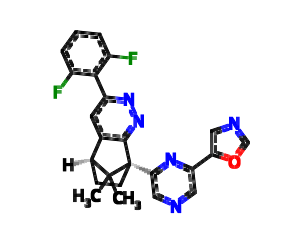 CC1(C)[C@H]2CC[C@]1(c1cncc(-c3cnco3)n1)c1nnc(-c3c(F)cccc3F)cc12